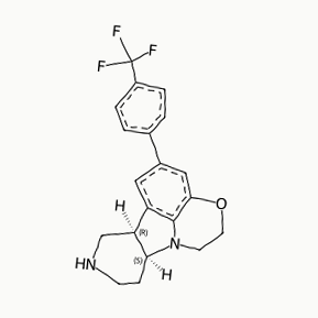 FC(F)(F)c1ccc(-c2cc3c4c(c2)[C@@H]2CNCC[C@@H]2N4CCO3)cc1